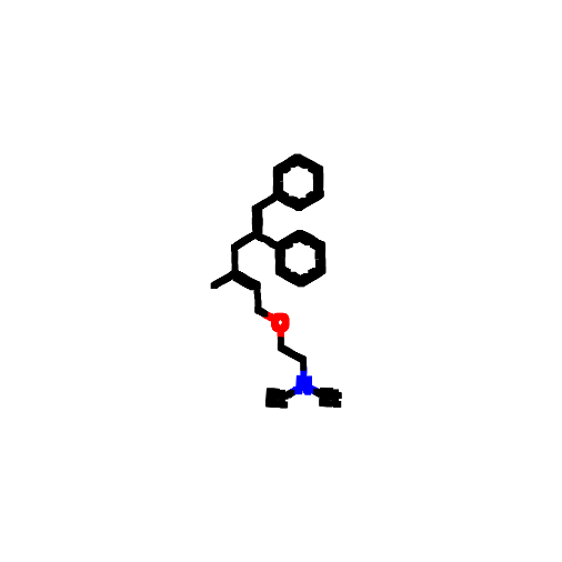 CCN(CC)CCOCC=C(C)C/C(=C/c1ccccc1)c1ccccc1